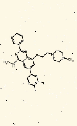 CNc1nc(-c2cccnc2)nc2c(OCCN3CCN(C)CC3)cc(-c3ccc(F)c(F)c3)cc12